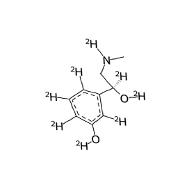 [2H]Oc1c([2H])c([2H])c([2H])c([C@@]([2H])(CN([2H])C)O[2H])c1[2H]